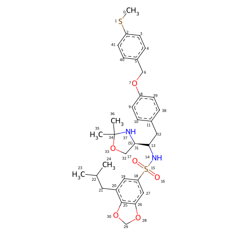 CSc1ccc(COc2ccc(CC(NS(=O)(=O)c3cc(CC(C)C)c4c(c3)OCO4)[C@H]3COC(C)(C)N3)cc2)cc1